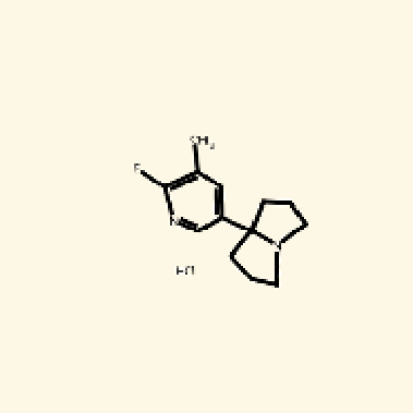 Cc1cc(C23CCCN2CCC3)cnc1F.Cl